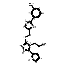 CC(C)CCn1c(SCc2noc(-c3cccc(Cl)c3)n2)nnc1-c1cccs1